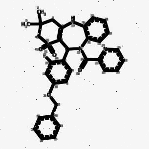 CC1(C)CC2=C(C(c3ccc(OCc4ccccc4)cc3F)N(C(=O)c3ccccn3)c3ccccc3N2)S(=O)(=O)C1